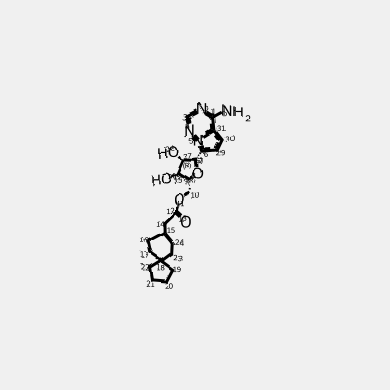 Nc1ncnn2c([C@@H]3O[C@H](COC(=O)CC4CCC5(CCCC5)CC4)[C@@H](O)[C@H]3O)ccc12